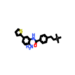 C[Si](C)(C)CCc1ccc(C(=O)Nc2cc(-c3cccs3)ccc2N)cc1